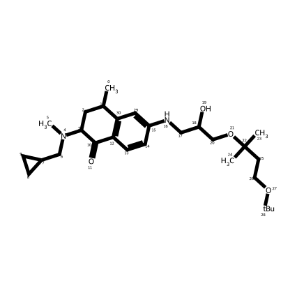 CC1CC(N(C)CC2CC2)C(=O)c2ccc(NCC(O)COC(C)(C)CCOC(C)(C)C)cc21